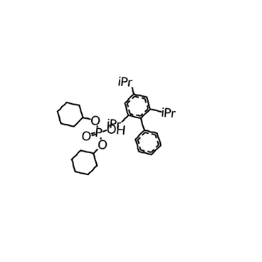 CC(C)c1cc(C(C)C)c(-c2ccccc2)c(C(C)C)c1.O=P(O)(OC1CCCCC1)OC1CCCCC1